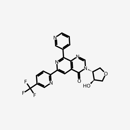 O=c1c2cc(-c3ccc(C(F)(F)F)cn3)nc(-c3cccnc3)c2ncn1[C@@H]1COC[C@H]1O